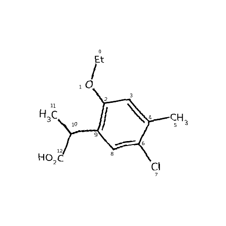 CCOc1cc(C)c(Cl)cc1C(C)C(=O)O